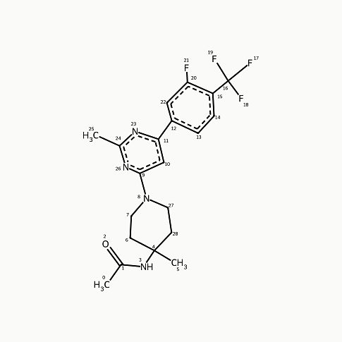 CC(=O)NC1(C)CCN(c2cc(-c3ccc(C(F)(F)F)c(F)c3)nc(C)n2)CC1